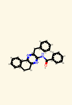 O=C(Nc1nc2c(nc1Cc1ccccc1)-c1ccccc1CC2)c1ccccc1